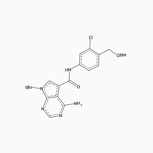 COCc1ccc(NC(=O)c2cn(C(C)(C)C)c3ncnc(N)c23)cc1Cl